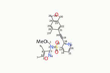 COCN(c1noc(C)c1C)S(=O)(=O)c1cccnc1C#Cc1cc2c(cc1C)COC2